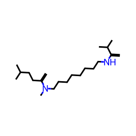 C=C(NCCCCCCCCN(C)C(=C)CCC(C)C)C(C)C